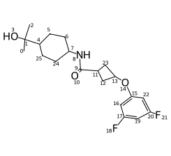 CC(C)(O)C1CCC(NC(=O)C2CC(Oc3cc(F)cc(F)c3)C2)CC1